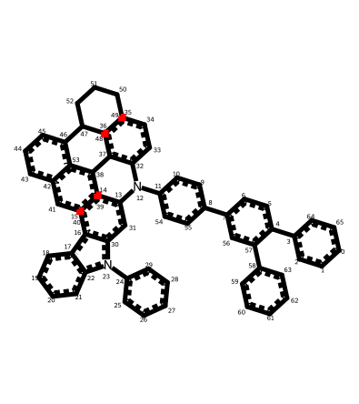 c1ccc(-c2ccc(-c3ccc(N(c4ccc5c6ccccc6n(-c6ccccc6)c5c4)c4ccccc4-c4cccc5cccc(C6CCCCC6)c45)cc3)cc2-c2ccccc2)cc1